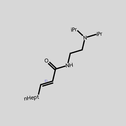 CCCCCCC/C=C/C(=O)NCCN(C(C)C)C(C)C